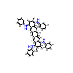 Cc1c(C)c(Nc2ccccc2)c2cc3cc4cc5c(Nc6ccccc6)c(C)c(C)c(Nc6ccccc6)c5cc4cc3cc2c1Nc1ccccc1